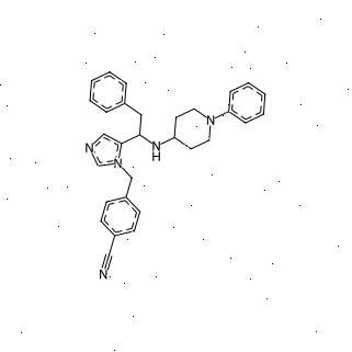 N#Cc1ccc(Cn2cncc2C(Cc2ccccc2)NC2CCN(c3ccccc3)CC2)cc1